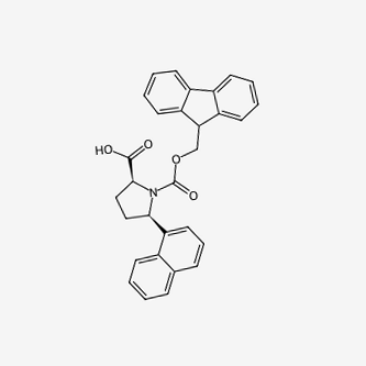 O=C(O)[C@@H]1CC[C@H](c2cccc3ccccc23)N1C(=O)OCC1c2ccccc2-c2ccccc21